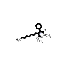 CCCCCCCC/C(C(=O)OC)=C(/C(=O)OC)C1CCCCC1